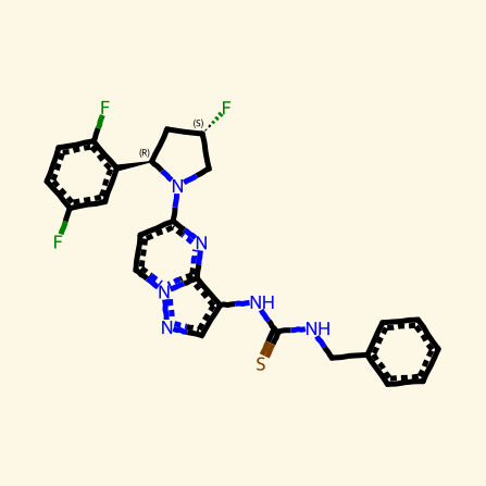 Fc1ccc(F)c([C@H]2C[C@H](F)CN2c2ccn3ncc(NC(=S)NCc4ccccc4)c3n2)c1